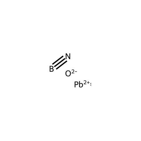 B#N.[O-2].[Pb+2]